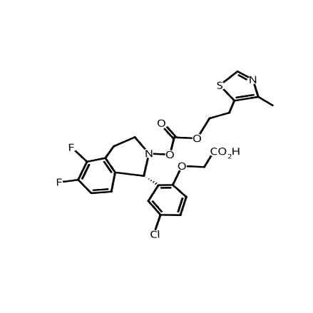 Cc1ncsc1CCOC(=O)ON1CCc2c(ccc(F)c2F)[C@H]1c1cc(Cl)ccc1OCC(=O)O